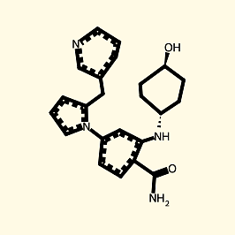 NC(=O)c1ccc(-n2cccc2Cc2cccnc2)cc1N[C@H]1CC[C@H](O)CC1